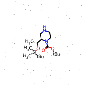 C[C@@H](O[Si](C)(C)C(C)(C)C)[C@H]1CNCCN1C(=O)OC(C)(C)C